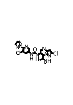 CNC(C)c1c(NC(=O)Nc2cnc(-n3nccn3)c(Cl)c2)cnc2cc(Cl)nn12